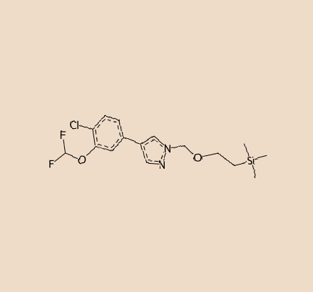 C[Si](C)(C)CCOCn1cc(-c2ccc(Cl)c(OC(F)F)c2)cn1